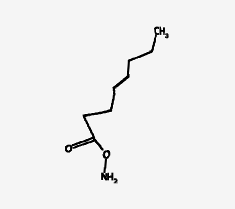 CCCCCCCC(=O)ON